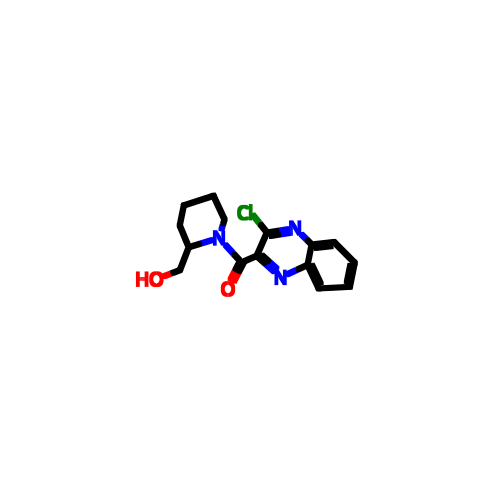 O=C(c1nc2ccccc2nc1Cl)N1CCCCC1CO